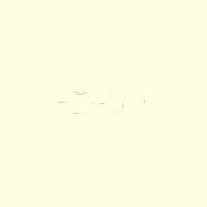 Cc1c(-c2ccc(Br)c(F)c2F)cnn1CC(F)F